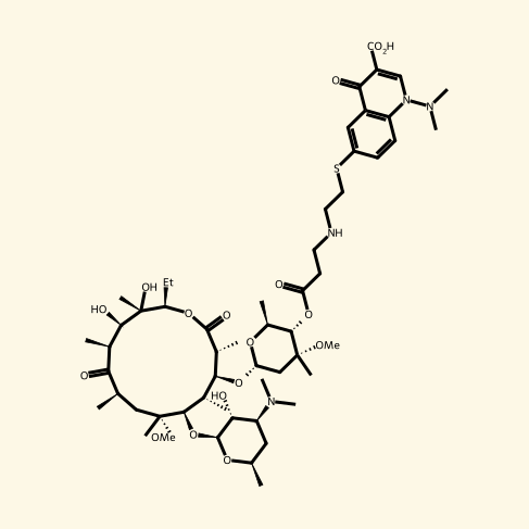 CC[C@H]1OC(=O)[C@H](C)[C@@H](O[C@H]2C[C@@](C)(OC)[C@@H](OC(=O)CCNCCSc3ccc4c(c3)c(=O)c(C(=O)O)cn4N(C)C)[C@H](C)O2)[C@H](C)[C@@H](O[C@@H]2O[C@H](C)C[C@H](N(C)C)[C@H]2O)[C@](C)(OC)C[C@@H](C)C(=O)[C@@H](C)[C@@H](O)[C@]1(C)O